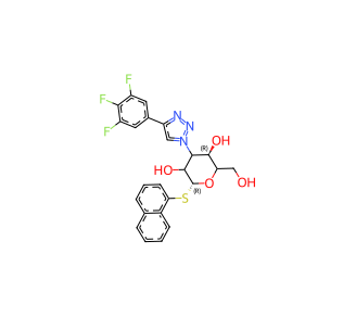 OCC1O[C@H](Sc2cccc3ccccc23)C(O)C(n2cc(-c3cc(F)c(F)c(F)c3)nn2)[C@H]1O